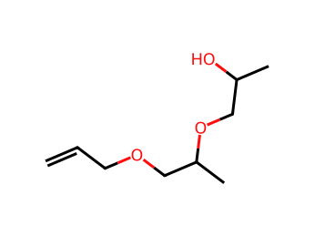 C=CCOCC(C)OCC(C)O